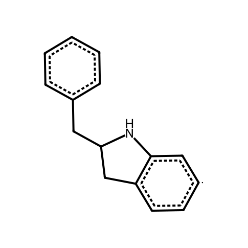 [c]1ccc2c(c1)NC(Cc1ccccc1)C2